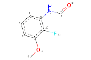 COc1cccc(N[C]=O)c1F